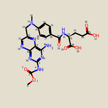 COC(=O)Nc1nc(N)c2nc(CN(C)c3ccc(C(=O)N[C@@H](CCC(=O)O)C(=O)O)cc3)cnc2n1